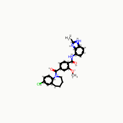 COc1cc(C(=O)N2CCCCc3cc(Cl)ccc32)ccc1C(=O)Nc1cccc2[nH]c(C)nc12